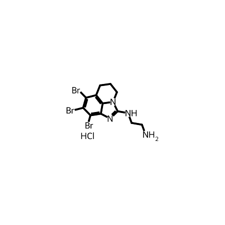 Cl.NCCNc1nc2c(Br)c(Br)c(Br)c3c2n1CCC3